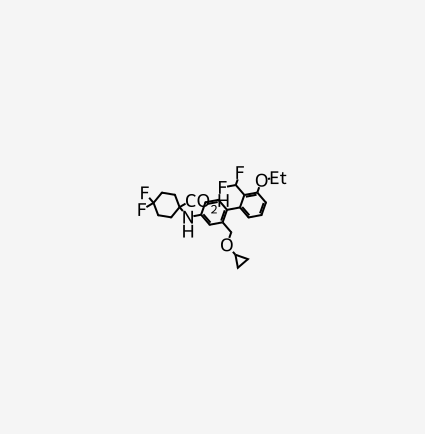 CCOc1cccc(-c2ccc(NC3(C(=O)O)CCC(F)(F)CC3)cc2COC2CC2)c1C(F)F